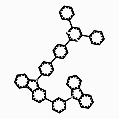 c1ccc(-c2cc(-c3ccccc3)nc(-c3ccc(-c4ccc(-n5c6ccccc6c6ccc(-c7cccc(-n8c9ccccc9c9ccccc98)c7)cc65)cc4)cc3)n2)cc1